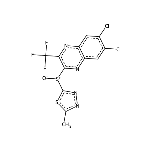 Cc1nnc([S+]([O-])c2nc3cc(Cl)c(Cl)cc3nc2C(F)(F)F)s1